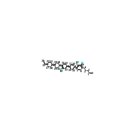 C=CCCCc1ccc(-c2ccc(-c3ccc(C4CCC(C5CCC(C=C)CC5)CC4)c(F)c3)cc2)c(F)c1F